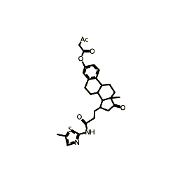 CC(=O)CC(=O)Oc1ccc2c(c1)CCC1C2CCC2(C)C(=O)CC(CCC(=O)Nc3ncc(C)s3)C12